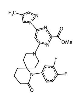 COC(=O)c1nc(N2CCC3(CCCC(=O)N3c3ccc(F)c(F)c3)CC2)cc(-n2cc(C(F)(F)F)cn2)n1